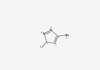 CC1C=C(C(C)C)N=N1